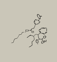 CCCCC(CC)CC(=C(OC)C(=O)O)c1ccccc1.CCCCCCCCOC(=O)C=Cc1ccc(OC)cc1